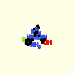 CCn1cnc2c(NCc3cc(F)ccc3N)nc(NCC(C)(C)O)nc21